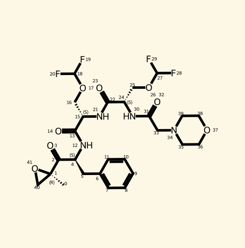 C[C@]1(C(=O)[C@H](Cc2ccccc2)NC(=O)[C@H](COC(F)F)NC(=O)[C@H](COC(F)F)NC(=O)CN2CCOCC2)CO1